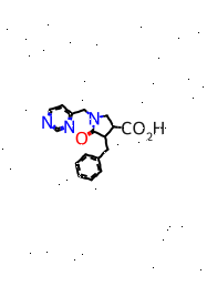 O=C(O)C1CN(Cc2ccncn2)C(=O)C1Cc1ccccc1